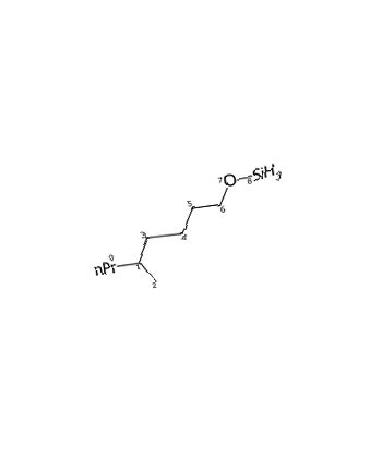 CCCC(C)CCCCO[SiH3]